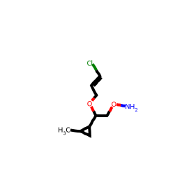 CC1CC1C(CON)OCC=CCl